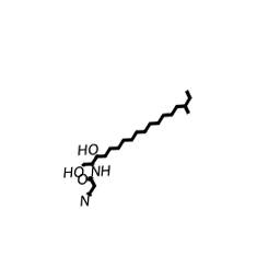 CCC(C)CCCCCCCCCCCCC(O)C(CO)NC(=O)CC#N